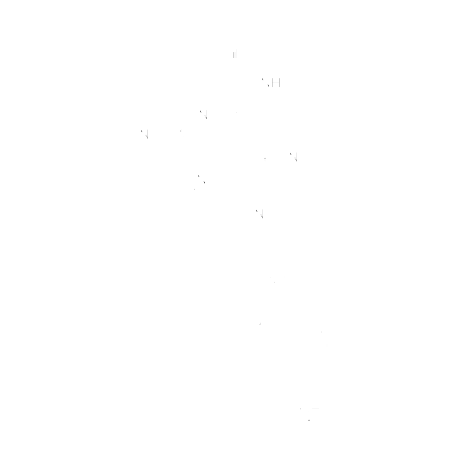 CC(C)Nc1nc(N)nc2c1ncn2COCC(O)CO